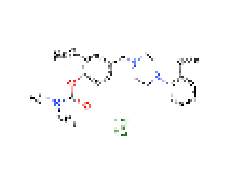 COc1cc(CN2CCN(c3ccccc3OC)CC2)ccc1OC(=O)N(C)C.Cl.Cl